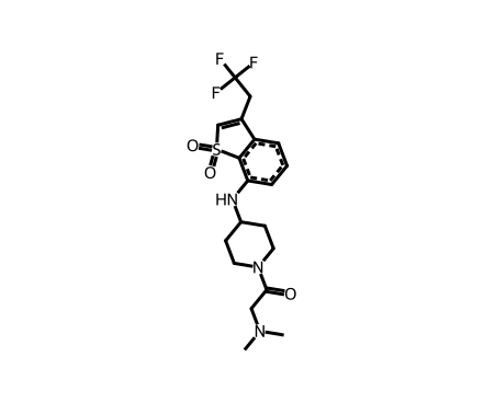 CN(C)CC(=O)N1CCC(Nc2cccc3c2S(=O)(=O)C=C3CC(F)(F)F)CC1